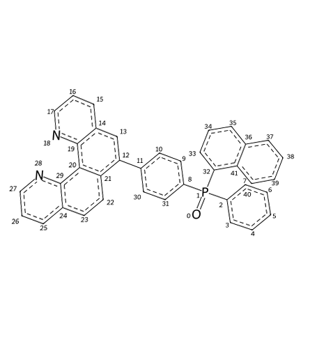 O=P(c1ccccc1)(c1ccc(-c2cc3cccnc3c3c2ccc2cccnc23)cc1)c1cccc2ccccc12